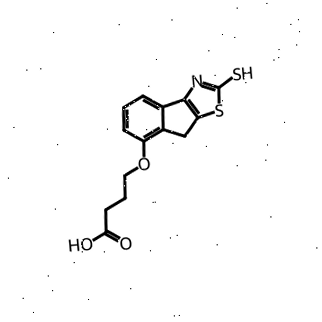 O=C(O)CCCOc1cccc2c1Cc1sc(S)nc1-2